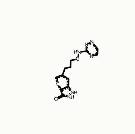 O=c1[nH][nH]c2cc(CCCONc3nccnn3)ccc12